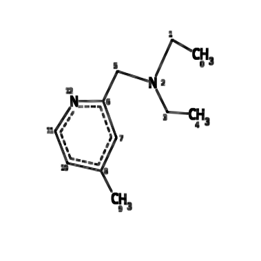 CCN(CC)Cc1cc(C)ccn1